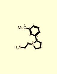 COc1cccc(C2CCCN2CCN)c1